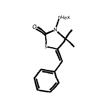 CCCCCCN1C(=O)S/C(=C\c2ccccc2)C1(C)C